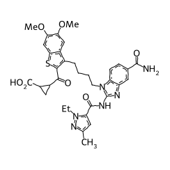 CCn1nc(C)cc1C(=O)Nc1nc2cc(C(N)=O)ccc2n1CCCCc1c(C(=O)C2CC2C(=O)O)sc2cc(OC)c(OC)cc12